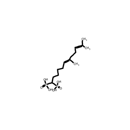 CC(C)=CCC/C(C)=C/CCCCC(P(=O)(O)O)P(=O)(O)O